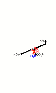 CCCC/C=C\C/C=C\CCCCCCCC(=O)O[C@H](COCCCCCCCCCCCCCCCCCCCC)COP(=O)(O)OC[C@H](N)C(=O)O